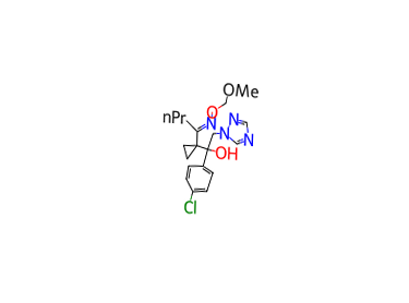 CCCC(=NOCOC)C1(C(O)(Cn2cncn2)c2ccc(Cl)cc2)CC1